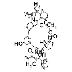 CCn1c(-c2cccnc2[C@H](C)OC)c2c3cc(ccc31)-c1cc(O)cc(c1)C[C@H](NC(=O)[C@H](C(C)C)N(C)C(O)C1CN3CCCN1CC3)C(=O)N1CCC[C@H](N1)C(=O)OCC(C)(C)C2